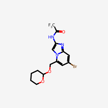 O=C(Nc1cn2c(COC3CCCCO3)cc(Br)cc2n1)C(F)(F)F